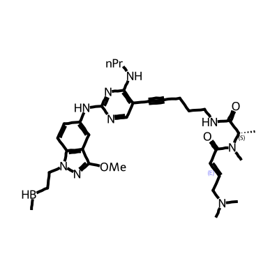 CBCCn1nc(OC)c2cc(Nc3ncc(C#CCCCNC(=O)[C@H](C)N(C)C(=O)/C=C/CN(C)C)c(NCCC)n3)ccc21